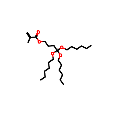 C=C(C)C(=O)OCCC[Si](OCCCCCC)(OCCCCCC)OCCCCCC